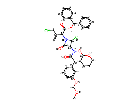 C=C(CCl)C(C(=O)OC(c1ccccc1)c1ccccc1)N1C(=O)C(N(OC2CCCCO2)C(=O)Cc2cccc(OCOC)c2)C1Cl